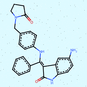 Nc1ccc2c(c1)C(=C(Nc1ccc(CN3CCCC3=O)cc1)c1ccccc1)C(=O)N2